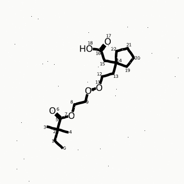 CCC(C)(C)C(=O)OCCOOCCC1(CC(=O)O)CCCC1